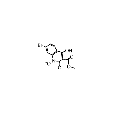 COC(=O)c1c(O)c2ccc(Br)cc2n(OC)c1=O